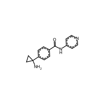 NC1(c2ccc(C(=O)Nc3ccncc3)cc2)CC1